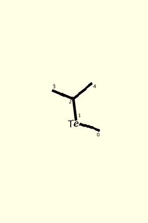 C[Te]C(C)C